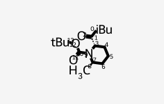 CCC(C)C(=O)[C@@H]1CCC[C@@H](C)N1C(=O)OC(C)(C)C